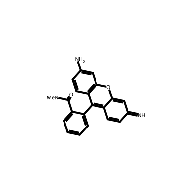 CNC(=O)c1ccccc1-c1c2ccc(=N)cc-2oc2cc(N)ccc12